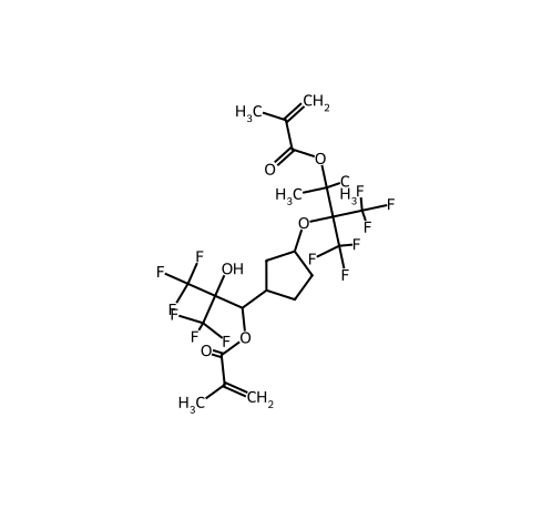 C=C(C)C(=O)OC(C1CCC(OC(C(F)(F)F)(C(F)(F)F)C(C)(C)OC(=O)C(=C)C)C1)C(O)(C(F)(F)F)C(F)(F)F